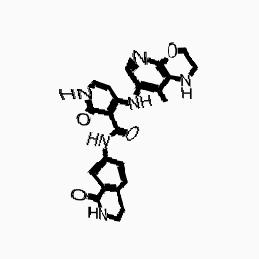 Cc1c(Nc2cc[nH]c(=O)c2C(=O)Nc2ccc3c(c2)C(=O)NCC3)cnc2c1NCCO2